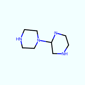 C1CNCC(N2CCNCC2)[N]1